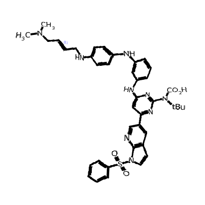 CN(C)C/C=C/CNc1ccc(Nc2cccc(Nc3cc(-c4cnc5c(ccn5S(=O)(=O)c5ccccc5)c4)nc(N(C(=O)O)C(C)(C)C)n3)c2)cc1